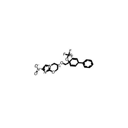 O=[N+]([O-])c1cn2c(n1)OC[C@@H](OCC1(OC(F)(F)F)C=CC(c3ccccc3)C=C1F)C2